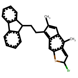 CC1=Cc2c(C)c3c(cc2=C1CCC1c2ccccc2-c2ccccc21)SC(Br)C=3